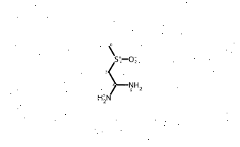 C[S+]([O-])CC(N)N